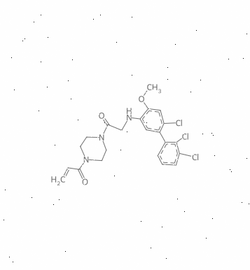 C=CC(=O)N1CCN(C(=O)CNc2cc(-c3cccc(Cl)c3Cl)c(Cl)cc2OC)CC1